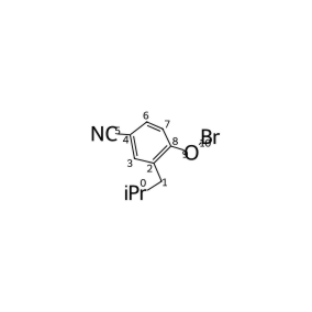 CC(C)Cc1cc(C#N)ccc1OBr